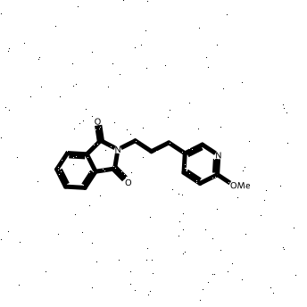 COc1ccc(CCCN2C(=O)c3ccccc3C2=O)cn1